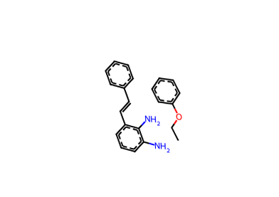 CCOc1ccccc1.Nc1cccc(C=Cc2ccccc2)c1N